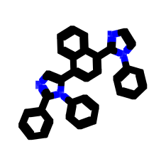 c1ccc(-c2ncc(-c3ccc(-c4nccn4-c4ccccc4)c4ccccc34)n2-c2ccccc2)cc1